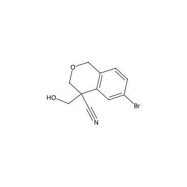 N#CC1(CO)COCc2ccc(Br)cc21